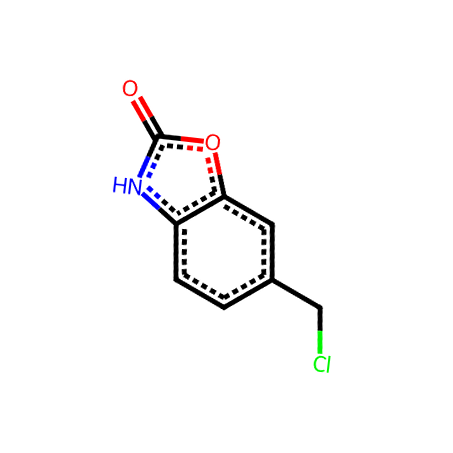 O=c1[nH]c2ccc(CCl)cc2o1